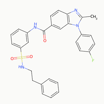 Cc1nc2ccc(C(=O)Nc3cccc(S(=O)(=O)NCCc4ccccc4)c3)cc2n1-c1ccc(F)cc1